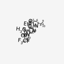 CCS(=O)(=O)c1ccc(C2CC2)nc1-c1cc2c(cn1)n(CC(F)(F)C(F)(F)F)c(=O)n2C